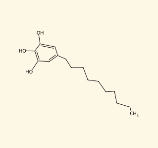 CCCCCCCCCCc1cc(O)c(O)c(O)c1